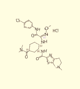 CO/N=C(/N[C@H]1CC[C@H](C(=O)N(C)C)C[C@H]1NC(=O)c1nc2c(s1)CN(C)CC2)C(=O)Nc1ccc(Cl)cc1.Cl